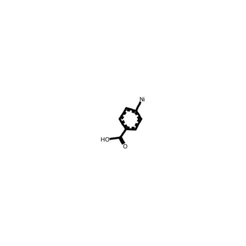 O=C(O)c1cc[c]([Ni])cc1